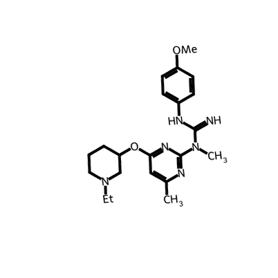 CCN1CCCC(Oc2cc(C)nc(N(C)C(=N)Nc3ccc(OC)cc3)n2)C1